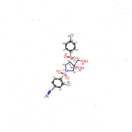 N#Cc1ccc(S(=O)(=O)N2C[C@H](S(=O)(=O)c3ccc(Cl)cc3)[C@](O)(CO)C2)c(Cl)c1